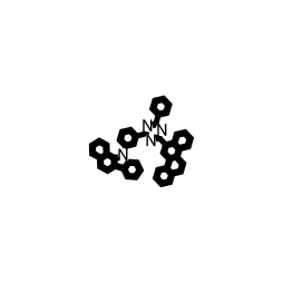 c1ccc(-c2nc(-c3cccc(-n4c5ccccc5c5ccc6ccccc6c54)c3)nc(-c3cc4c5ccccc5ccc4c4ccccc34)n2)cc1